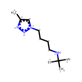 CCCC(C)(CC)NCCCCn1cc(C)nn1